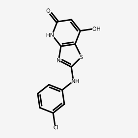 O=c1cc(O)c2sc(Nc3cccc(Cl)c3)nc2[nH]1